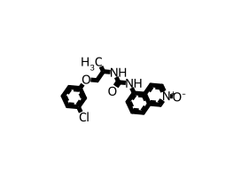 CC(COc1cccc(Cl)c1)NC(=O)Nc1cccc2c[n+]([O-])ccc12